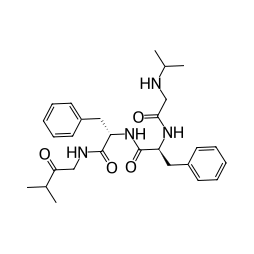 CC(C)NCC(=O)N[C@@H](Cc1ccccc1)C(=O)N[C@@H](Cc1ccccc1)C(=O)NCC(=O)C(C)C